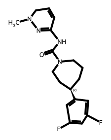 CN1CC=CC(NC(=O)N2CCC[C@@H](c3cc(F)cc(F)c3)CC2)=N1